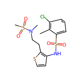 Cc1c(Cl)cccc1S(=O)(=O)Nc1ccsc1CCN(C)S(C)(=O)=O